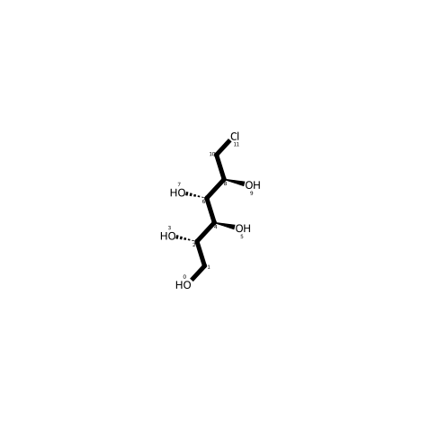 OC[C@H](O)[C@H](O)[C@H](O)[C@H](O)CCl